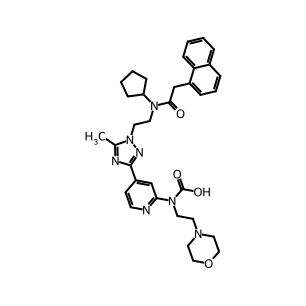 Cc1nc(-c2ccnc(N(CCN3CCOCC3)C(=O)O)c2)nn1CCN(C(=O)Cc1cccc2ccccc12)C1CCCC1